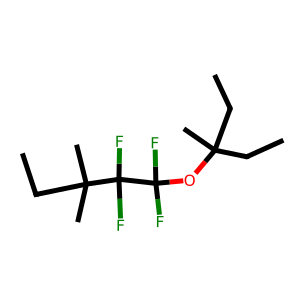 CCC(C)(CC)OC(F)(F)C(F)(F)C(C)(C)CC